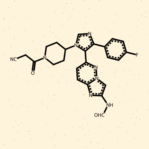 N#CCC(=O)N1CCC(n2cnc(-c3ccc(F)cc3)c2-c2ccc3nc(NC=O)cn3n2)CC1